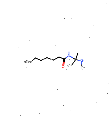 CCCCCCCCCCCCCCCC(=O)NC(C)(CCC)NCC